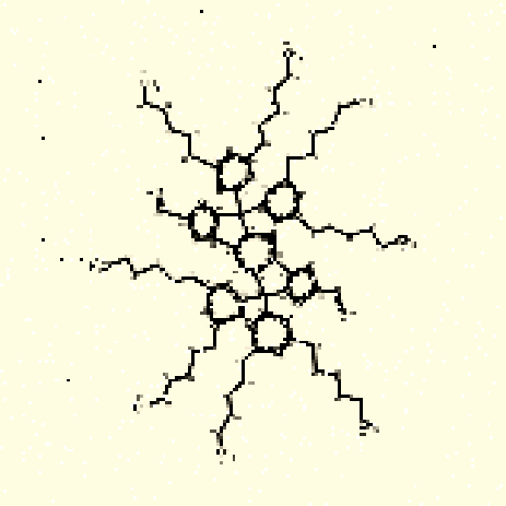 CCCCCCc1cc(CCCCCC)cc(C2(c3cc(CCCCCC)cc(CCCCCC)c3)c3cc4c(cc3-c3cc(C=O)sc32)C(c2cc(CCCCCC)cc(CCCCCC)c2)(c2cc(CCCCCC)cc(CCCCCC)c2)c2sc(C=O)cc2-4)c1